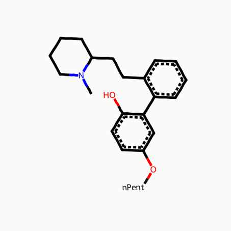 CCCCCOc1ccc(O)c(-c2ccccc2CCC2CCCCN2C)c1